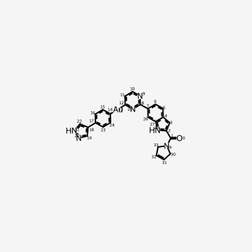 O=C(c1cc2ccc(-c3ncc[c]([Au][c]4ccc(-c5cn[nH]c5)cc4)n3)cc2[nH]1)N1CC=CC1